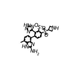 Cc1ccc(-c2ccc(S(=O)(=O)C3CNC3)c([S+]=O)c2-c2nn[nH]n2)c2nc(N)[nH]c12